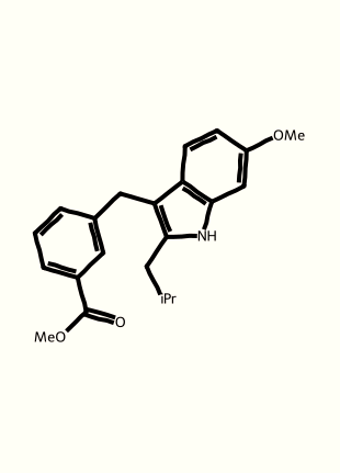 COC(=O)c1cccc(Cc2c(CC(C)C)[nH]c3cc(OC)ccc23)c1